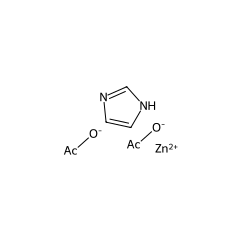 CC(=O)[O-].CC(=O)[O-].[Zn+2].c1c[nH]cn1